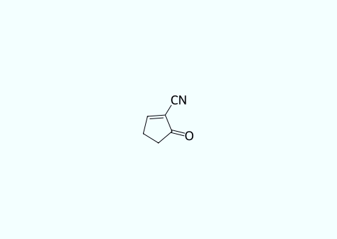 N#CC1=CCCC1=O